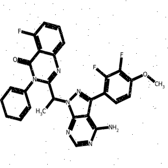 COc1ccc(-c2nn(C(C)c3nc4cccc(F)c4c(=O)n3C3=CCCC=C3)c3ncnc(N)c23)c(F)c1F